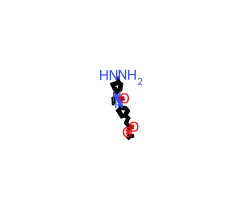 CC(C)OC(=O)CCc1ccc(N2CCN(c3ccc(C(=N)N)cc3)C2=O)cc1